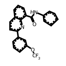 O=C(Nc1ccccc1)c1cccc2ccc(-c3cccc(OC(F)(F)F)c3)nc12